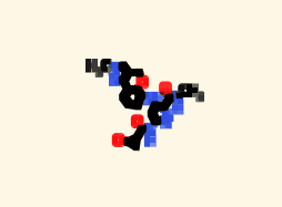 CNC(=O)c1nnc(NC(=O)C2CC2=O)cc1Nc1cccc2c1OCc1cn(C)nc1-2